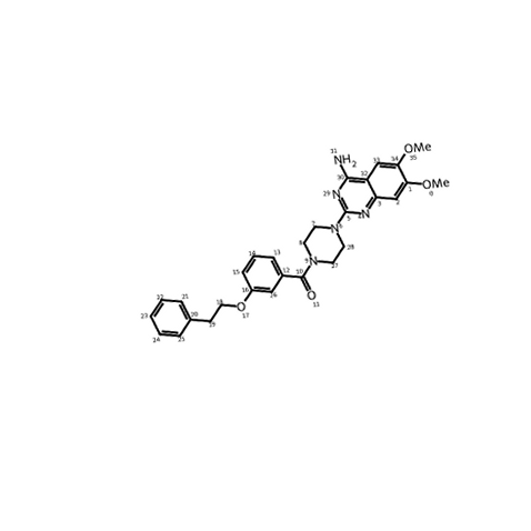 COc1cc2nc(N3CCN(C(=O)c4cccc(OCCc5ccccc5)c4)CC3)nc(N)c2cc1OC